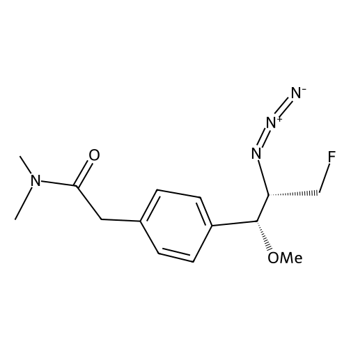 CO[C@H](c1ccc(CC(=O)N(C)C)cc1)[C@@H](CF)N=[N+]=[N-]